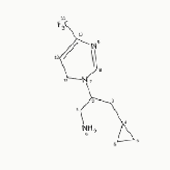 NCC(CC1CC1)N1C=NC(C(F)(F)F)=CC1